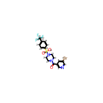 O=C(c1cncc(Br)c1)N1CCN(S(=O)(=O)c2ccc(C(F)(F)F)cc2)CC1